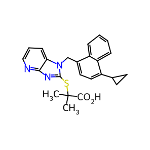 CC(C)(Sc1nc2ncccc2n1Cc1ccc(C2CC2)c2ccccc12)C(=O)O